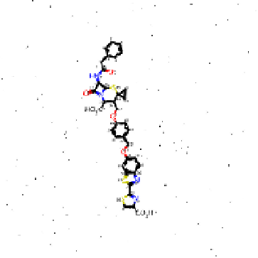 O=C(Cc1ccccc1)NC1C(=O)N2C(C(=O)O)=C(COc3ccc(COc4ccc5nc(C6=NC(C(=O)O)CS6)sc5c4)cc3)C3(CC3)SC12